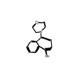 Brc1ccc(N2CCOCC2)c2ccccc12